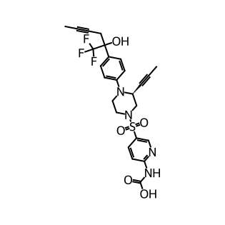 CC#CCC(O)(c1ccc(N2CCN(S(=O)(=O)c3ccc(NC(=O)O)nc3)C[C@@H]2C#CC)cc1)C(F)(F)F